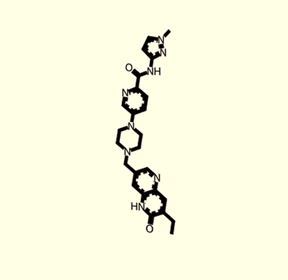 CCc1cc2ncc(CN3CCN(c4ccc(C(=O)Nc5ccn(C)n5)nc4)CC3)cc2[nH]c1=O